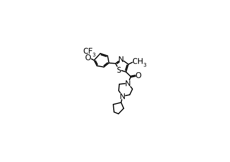 Cc1nc(-c2ccc(OC(F)(F)F)cc2)sc1C(=O)N1CCN(C2CCCC2)CC1